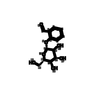 O=Cc1ccccc1O[C@H]1O[C@@H](CO)[C@H](O)[C@@H](O)[C@@H]1O